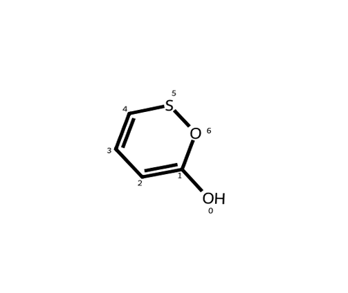 OC1=CC=CSO1